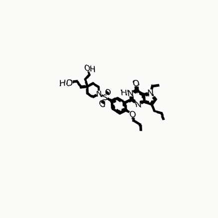 CCCOc1ccc(S(=O)(=O)N2CCC(CCO)(CCO)CC2)cc1-c1nc2c(CCC)cn(CC)c2c(=O)[nH]1